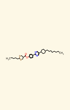 CCCCCCCCC1CCC(c2cnc(-c3ccc(OC(=O)C4CSC(CCCCC)SC4)cc3)nc2)CC1